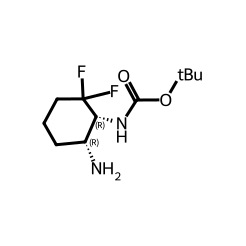 CC(C)(C)OC(=O)N[C@@H]1[C@H](N)CCCC1(F)F